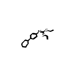 CCSC(=Nc1ccc(C2CCCCC2)cc1)SCC